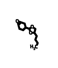 CCCCC1COC(C2CCC3OC3C2)O1